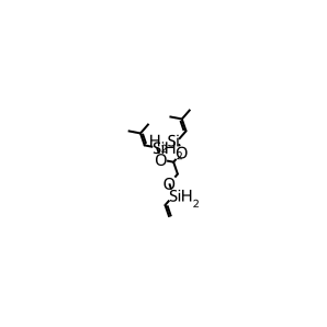 C=C[SiH2]OCC(O[SiH2]C=C(C)C)O[SiH2]C=C(C)C